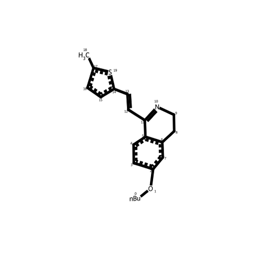 CCCCOc1ccc2c(c1)CCN=C2C=Cc1ccc(C)s1